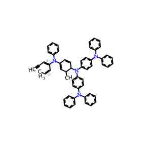 C#C/C=C(\C=C/C)N(C1=CC(C)C(N(c2ccc(N(c3ccccc3)c3ccccc3)cc2)c2ccc(N(c3ccccc3)c3ccccc3)cc2)C=C1)c1ccccc1